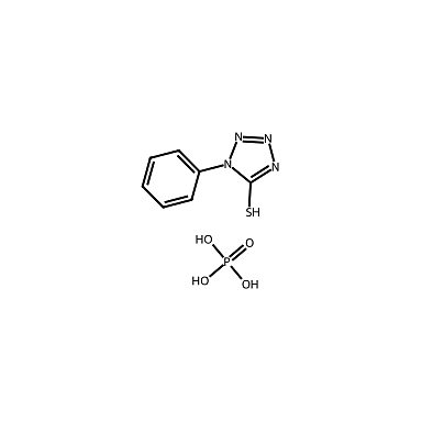 O=P(O)(O)O.Sc1nnnn1-c1ccccc1